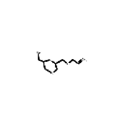 C=CCOCC1COCC(CO)O1